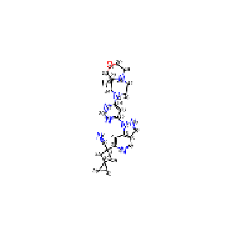 N#CC1(c2cc3c(cn2)cnn3-c2cc(N3CCN4CCOC[C@@H]4C3)ncn2)CC2(CC2)C1